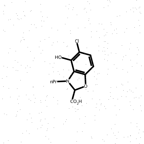 CCCN1c2c(ccc(Cl)c2O)OC1C(=O)O